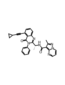 Cc1nn2cccnc2c1C(=O)N[C@H](C)c1nc2cccc(C#CC3CC3)c2c(=O)n1-c1ccccc1